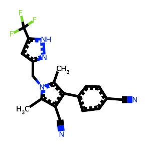 Cc1c(C#N)c(-c2ccc(C#N)cc2)c(C)n1Cc1cc(C(F)(F)F)[nH]n1